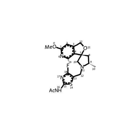 COc1cc2c(cn1)[C@]1(C[C@H](C)N(Cc3sc(NC(C)=O)nc3F)C1)OC2